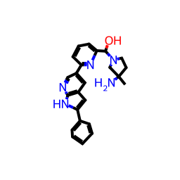 CC1(N)CCN(C(O)c2cccc(-c3cnc4[nH]c(-c5ccccc5)cc4c3)n2)C1